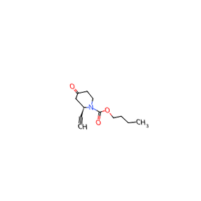 C#C[C@H]1CC(=O)CCN1C(=O)OCCCC